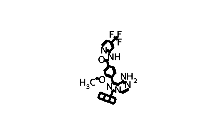 CCOc1cc(C(=O)Nc2cc(C(F)(F)F)ccn2)ccc1-c1nc(C23C4C5C6C4C2C6C53)n2ccnc(N)c12